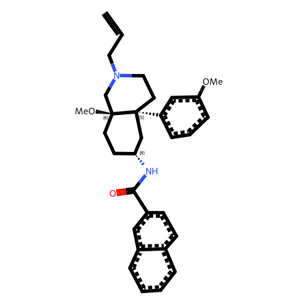 C=CCN1CC[C@@]2(c3cccc(OC)c3)C[C@H](NC(=O)c3ccc4ccccc4c3)CC[C@]2(OC)C1